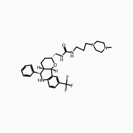 CN1CCN(CCCNC(=O)NC[C@H]2CC[C@@H]3[C@H](O2)c2cc(C(F)(F)F)ccc2N[C@H]3c2ccccc2)CC1